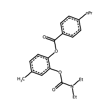 CCCc1ccc(C(=O)Oc2ccc(C)cc2OC(=O)N(CC)CC)cc1